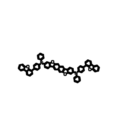 c1ccc(N(c2ccc(-c3cccc4c3oc3ccccc34)cc2)c2ccc3c(c2)oc2cc4cc5c(cc4cc23)oc2cc(N(c3ccccc3)c3ccc(-c4cccc6c4oc4ccccc46)cc3)ccc25)cc1